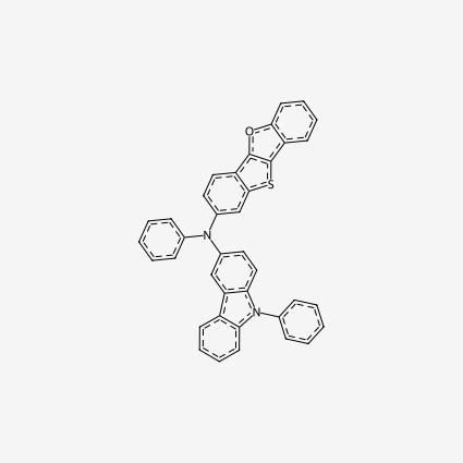 c1ccc(N(c2ccc3c(c2)sc2c4ccccc4oc32)c2ccc3c(c2)c2ccccc2n3-c2ccccc2)cc1